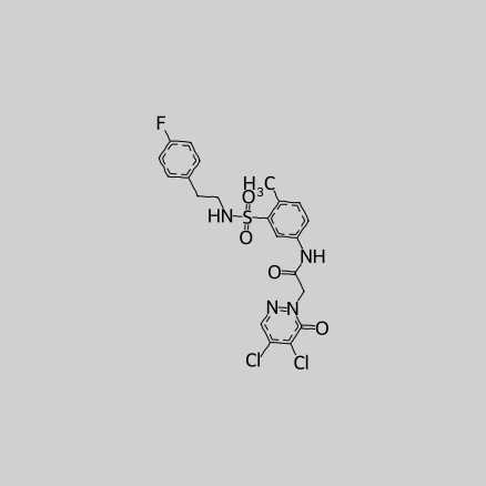 Cc1ccc(NC(=O)Cn2ncc(Cl)c(Cl)c2=O)cc1S(=O)(=O)NCCc1ccc(F)cc1